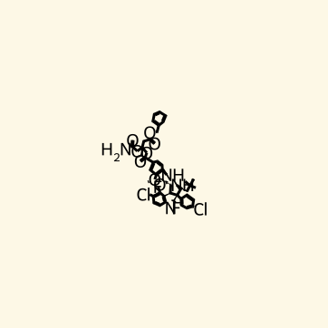 COc1cc(C(=O)OC(CC(=O)OCc2ccccc2)OC(N)=O)ccc1NC(=O)[C@@H]1N[C@@H](CC(C)(C)C)[C@](C#N)(c2ccc(Cl)cc2F)[C@H]1c1cccc(Cl)c1F